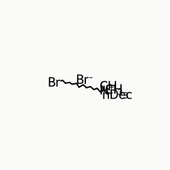 CCCCCCCCCC[N+](C)(C)CCCCCCCCCCCCBr.[Br-]